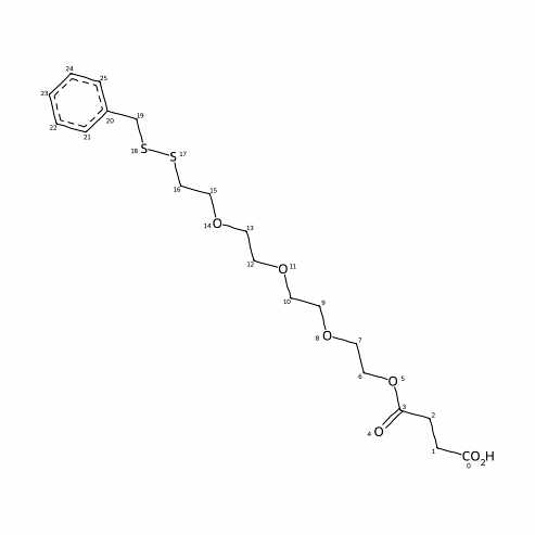 O=C(O)CCC(=O)OCCOCCOCCOCCSSCc1ccccc1